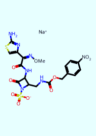 CON=C(C(=O)NC1C(=O)N(S(=O)(=O)[O-])C1CNC(=O)OCc1ccc([N+](=O)[O-])cc1)c1csc(N)n1.[Na+]